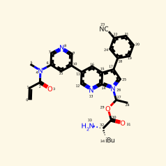 C=CC(=O)N(C)c1cncc(-c2cnc3c(c2)c(-c2cccc(C#N)c2)cn3C(C)OC(=O)[C@@H](N)[C@@H](C)CC)c1